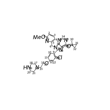 COc1cccc(Cn2c(-c3ccc(OCCN4CCNCC4)cc3Cl)nc3c(OC4(C)CC4)ncnc32)n1